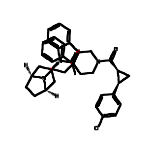 Cc1nc2ccccc2n1[C@H]1C[C@H]2CC[C@@H](C1)N2CCC1(c2ccccc2)CCN(C(=O)[C@H]2C[C@H]2c2ccc(Cl)cc2)CC1